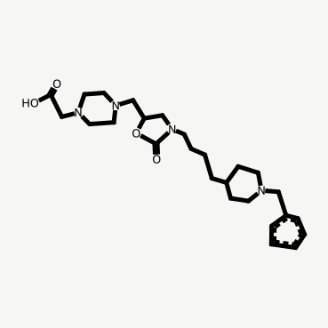 O=C(O)CN1CCN(CC2CN(CCCCC3CCN(Cc4ccccc4)CC3)C(=O)O2)CC1